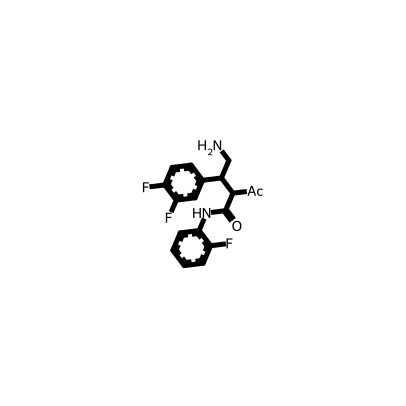 CC(=O)C(C(=O)Nc1ccccc1F)C(CN)c1ccc(F)c(F)c1